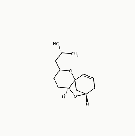 C[C@@H](C#N)CC1CC[C@@H]2O[C@H]3CC=CC2(C3)O1